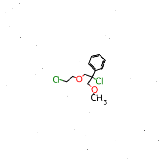 COCC(Cl)(COCCCl)c1ccccc1